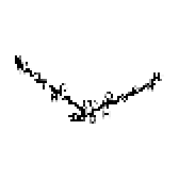 CC(C)(C)N(C(=O)CCCNC(=O)CCOCCOCCN=[N+]=[N-])C(CCCCNC(=O)CCOCCOCCN=[N+]=[N-])C(=O)O